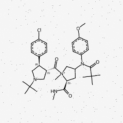 CNC(=O)[C@@H]1CC(N(C(=O)C(C)(C)C)c2ccc(OC)cc2)C[N+]1(C)C(=O)[C@@H]1CN(C(C)(C)C)C[C@H]1c1ccc(Cl)cc1